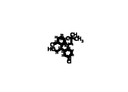 CC(C)(C)CNc1ccc(Cl)cc1C(CO)c1ccccc1Cl